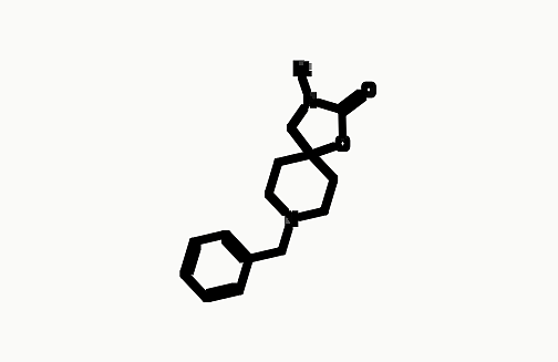 CCN1CC2(CCN(Cc3ccccc3)CC2)OC1=O